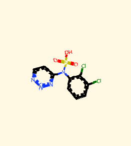 O=S(=O)(O)N(c1ccnnn1)c1cccc(Cl)c1Cl